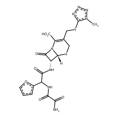 Cn1nnnc1SCC1=C(C(=O)O)N2C(=O)[C@@H](NC(=O)C(NC(=O)C(N)=O)c3ccco3)[C@H]2SC1